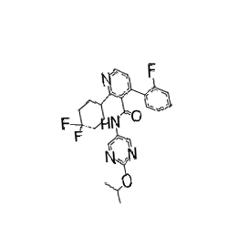 CC(C)Oc1ncc(NC(=O)c2c(-c3ccccc3F)ccnc2C2CCC(F)(F)CC2)cn1